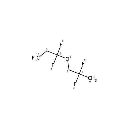 CC(F)(F)COC(F)(F)CC(F)(F)F